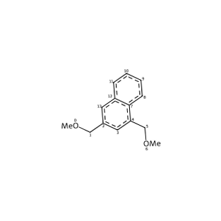 COCc1cc(COC)c2ccccc2c1